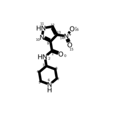 O=C(NC1CCNCC1)c1n[nH]cc1[N+](=O)[O-]